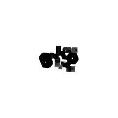 N=C(N)c1ccccc1CC(NC(=O)OC12CC3CC(CC(C3)C1)C2)C(=O)O